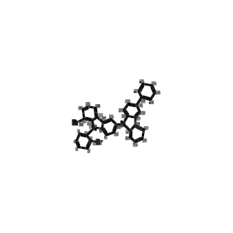 Brc1ccccc1-n1c2ccc(-n3c4ccccc4c4cc(-c5ccccc5)ccc43)cc2c2cccc(Br)c21